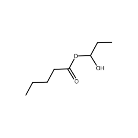 CCCCC(=O)OC(O)CC